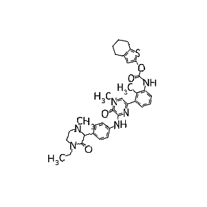 CCN1CCN(C)C(c2ccc(Nc3nc(-c4cccc(NC(=O)Oc5cc6c(s5)CCCC6)c4C)cn(C)c3=O)cc2)C1=O